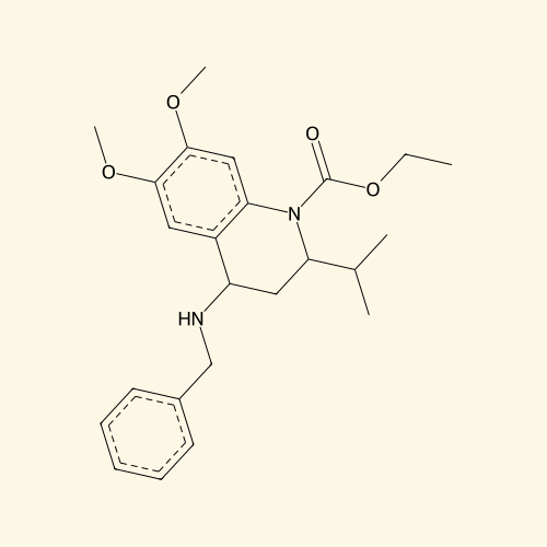 CCOC(=O)N1c2cc(OC)c(OC)cc2C(NCc2ccccc2)CC1C(C)C